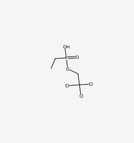 CCP(=O)(O)OCC(Cl)(Cl)Cl